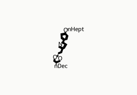 CCCCCCCCCC[C@H]1CO[C@H](CCc2ccc(-c3ccc(OCCCCCCC)cc3)nc2)OC1